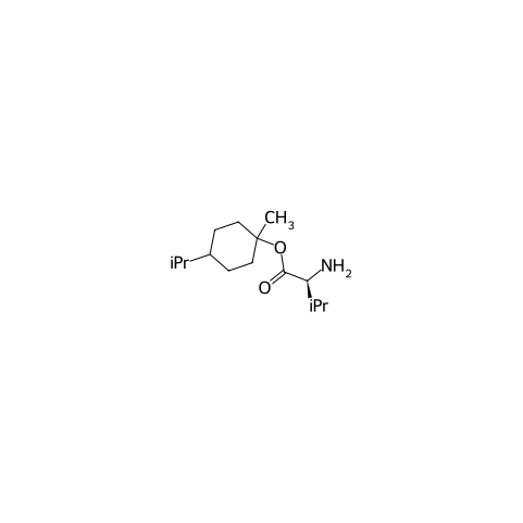 CC(C)C1CCC(C)(OC(=O)[C@@H](N)C(C)C)CC1